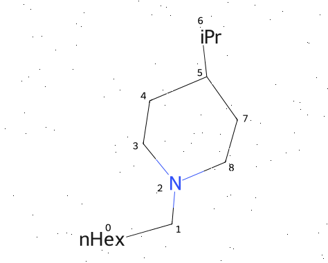 CCCCCCCN1CCC(C(C)C)CC1